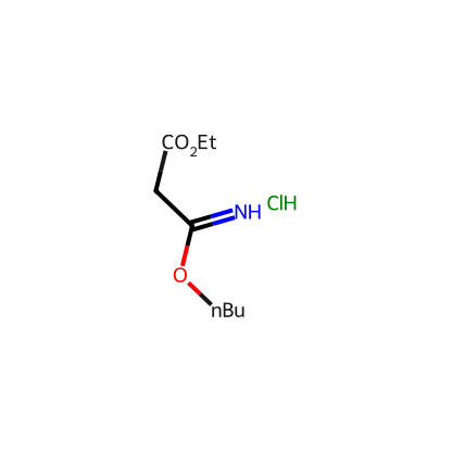 CCCCOC(=N)CC(=O)OCC.Cl